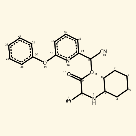 CC(C)C(NC1CCCCC1)C(=O)OC(C#N)c1cccc(Oc2ccccc2)n1